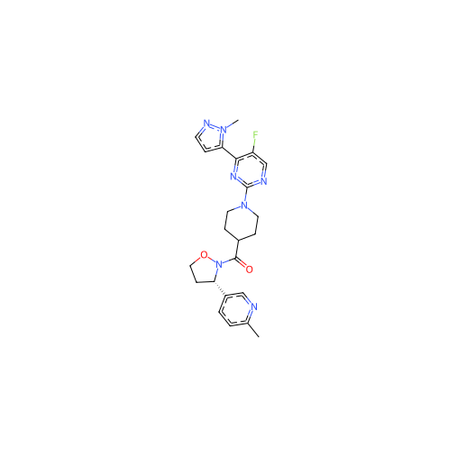 Cc1ccc([C@@H]2CCON2C(=O)C2CCN(c3ncc(F)c(-c4ccnn4C)n3)CC2)cn1